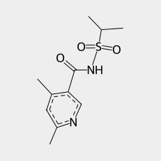 Cc1cc(C)c(C(=O)NS(=O)(=O)C(C)C)cn1